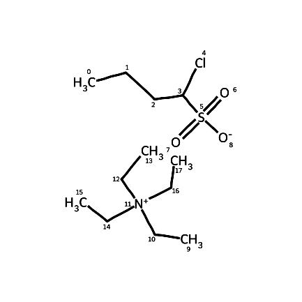 CCCC(Cl)S(=O)(=O)[O-].CC[N+](CC)(CC)CC